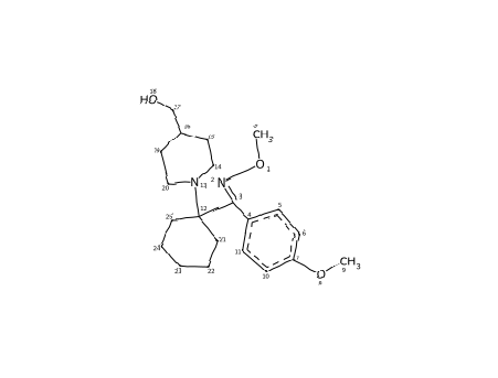 CON=C(c1ccc(OC)cc1)C1(N2CCC(CO)CC2)CCCCC1